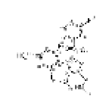 CNCc1cn(S(=O)(=O)c2cccc(F)c2)c(-c2c(F)cc(F)cc2F)c1OC.Cl